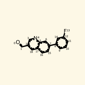 O=Cc1cnc2cc(-c3cccc(F)c3)ccc2c1